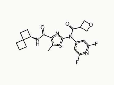 Cc1sc(N(C(=O)C2COC2)c2cc(F)nc(F)c2)nc1C(=O)N[C@@H]1CCC12CCC2